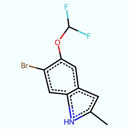 Cc1cc2cc(OC(F)F)c(Br)cc2[nH]1